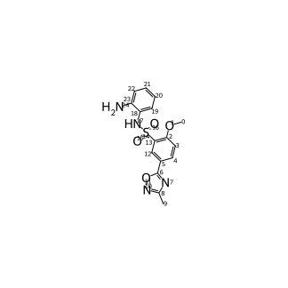 COc1ccc(-c2nc(C)no2)cc1S(=O)(=O)Nc1ccccc1N